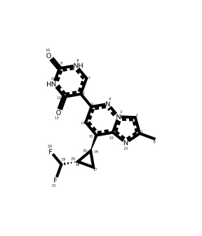 Cc1cn2nc(-c3c[nH]c(=O)[nH]c3=O)cc([C@H]3C[C@@H]3C(F)F)c2n1